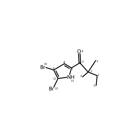 CCC(C)(C)C(=O)c1cc(Br)c(Br)[nH]1